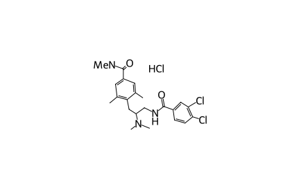 CNC(=O)c1cc(C)c(CC(CNC(=O)c2ccc(Cl)c(Cl)c2)N(C)C)c(C)c1.Cl